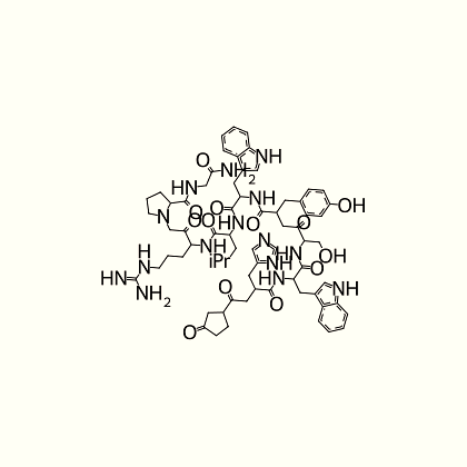 CC(C)CC(NC(=O)C(Cc1c[nH]c2ccccc12)NC(=O)C(CC(=O)C(CO)NC(=O)C(Cc1c[nH]c2ccccc12)NC(=O)C(CC(=O)C1CCC(=O)C1)Cc1cnc[nH]1)Cc1ccc(O)cc1)C(=O)NC(CCCNC(=N)N)C(=O)CN1CCCC1C(=O)NCC(N)=O